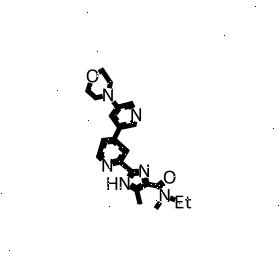 CCN(C)C(=O)c1nc(-c2cc(-c3cncc(N4CCOCC4)c3)ccn2)[nH]c1C